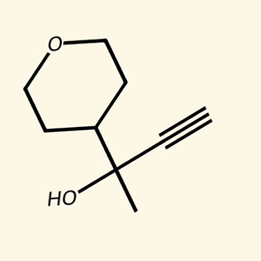 C#CC(C)(O)C1CCOCC1